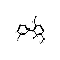 COc1ccc(CBr)c(F)c1-c1cccc(C)c1